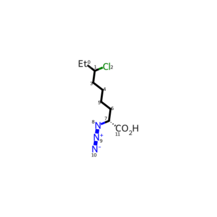 CCC(Cl)CCCC[C@@H](N=[N+]=[N-])C(=O)O